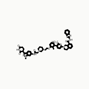 Cc1c(OCC[C@@H]2CCCN(CC(=O)Nc3ccc4c(C5CCC(=O)NC5=O)nn(C)c4c3)C2)cccc1-c1ccc(N2CCc3cccc(C(=O)Nc4nc5ccccc5s4)c3C2)nc1C(=O)O